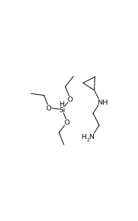 CCO[SiH](OCC)OCC.NCCNC1CC1